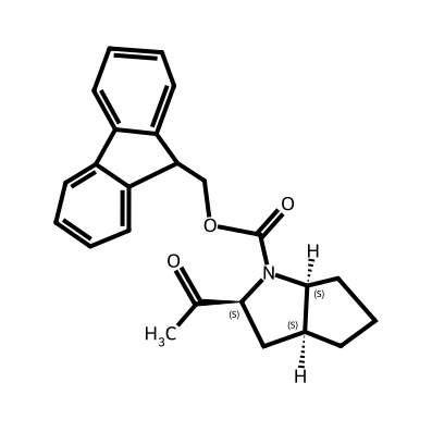 CC(=O)[C@@H]1C[C@@H]2CCC[C@@H]2N1C(=O)OCC1c2ccccc2-c2ccccc21